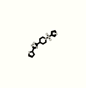 O=S(=O)(c1ccsc1)N1CCC(c2nc(C3CC=CS3)no2)CC1